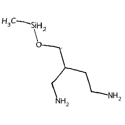 C[SiH2]O[CH]C(CN)CCN